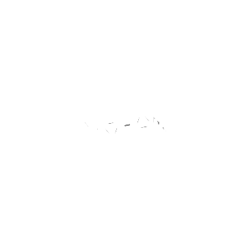 C=CCSc1ccc(C#Cc2ccc(N=C=S)cc2)cc1